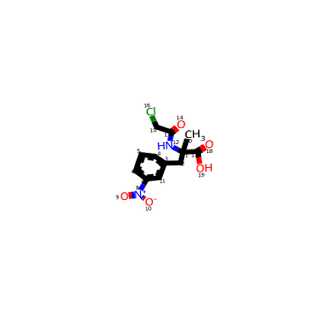 CC(Cc1cccc([N+](=O)[O-])c1)(NC(=O)CCl)C(=O)O